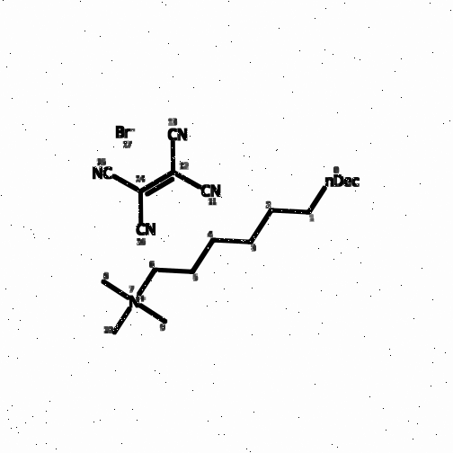 CCCCCCCCCCCCCCCC[N+](C)(C)C.N#CC(C#N)=C(C#N)C#N.[Br-]